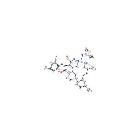 CC(CN)CCc1cc(C(F)(F)F)ccc1N1CCN(C(=O)C(Cc2ccc(Cl)cc2Cl)N2CCN(CCN(C)C)CC2=O)CC1